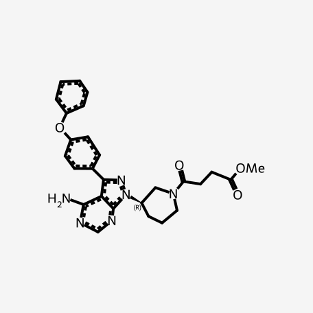 COC(=O)CCC(=O)N1CCC[C@@H](n2nc(-c3ccc(Oc4ccccc4)cc3)c3c(N)ncnc32)C1